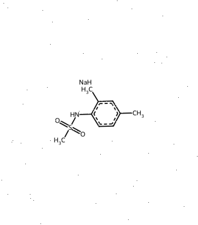 Cc1ccc(NS(C)(=O)=O)c(C)c1.[NaH]